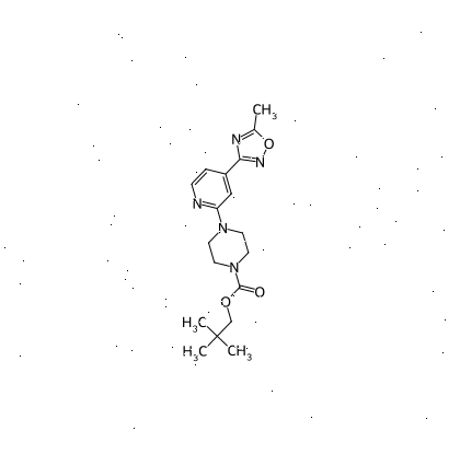 Cc1nc(-c2ccnc(N3CCN(C(=O)OCC(C)(C)C)CC3)c2)no1